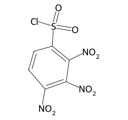 O=[N+]([O-])c1ccc(S(=O)(=O)Cl)c([N+](=O)[O-])c1[N+](=O)[O-]